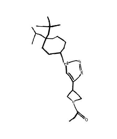 CC(=O)N1CC(c2cn(C3CCC(C(C)C)(C(C)(C)C)CC3)nn2)C1